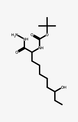 CCC(O)CCCCCC(NC(=O)OC(C)(C)C)C(=O)NN